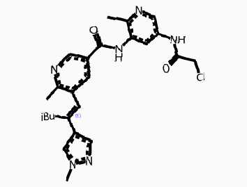 CCC(C)/C(=C\c1cc(C(=O)Nc2cc(NC(=O)CCl)cnc2C)cnc1C)c1cnn(C)c1